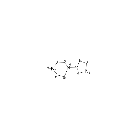 CN1CCN(C2CC[N]C2)CC1